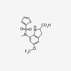 CN(c1cc(OC(F)(F)F)cc2c1NC(C(=O)O)C2)S(=O)(=O)c1cccs1